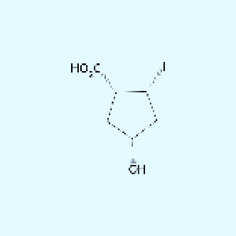 O=C(O)[C@H]1C[C@@H](O)C[C@H]1I